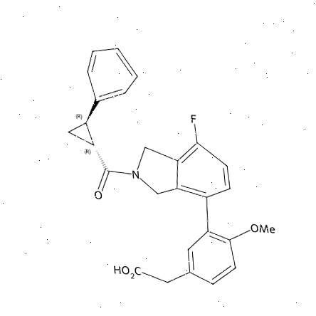 COc1ccc(CC(=O)O)cc1-c1ccc(F)c2c1CN(C(=O)[C@@H]1C[C@H]1c1ccccc1)C2